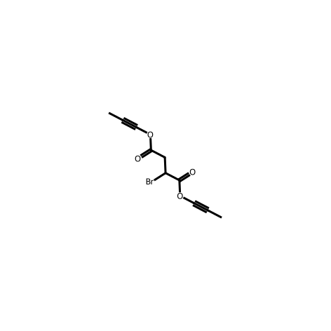 CC#COC(=O)CC(Br)C(=O)OC#CC